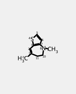 CC1=Cc2sccc2N(C)CC1